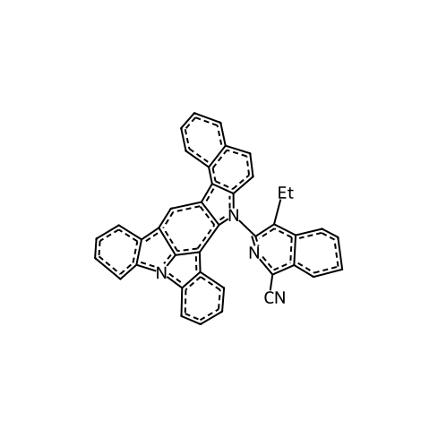 CCc1c(-n2c3ccc4ccccc4c3c3cc4c5ccccc5n5c6ccccc6c(c32)c45)nc(C#N)c2ccccc12